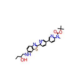 CCC(O)CNc1ccc2nc(-c3ccc(-c4ccc(N(C)C(=O)OC(C)(C)C)nc4)cn3)sc2c1